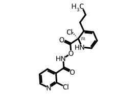 CCCC1=CC=CN[C@@]1(Cl)C(=O)ONC(=O)c1cccnc1Cl